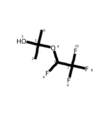 CC(C)(O)OC(F)C(F)(F)F